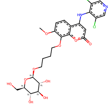 COc1ccc2c(Nc3c(Cl)cncc3Cl)cc(=O)oc2c1OCCCCO[C@@H]1O[C@H](CO)[C@@H](O)[C@H](O)[C@H]1O